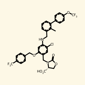 Cc1c(CNc2cc(OCc3ccc(C(F)(F)F)cc3)c(CN3C(=O)OC[C@@H]3C(=O)O)cc2Cl)cccc1-c1ccc(OC(F)(F)F)cc1